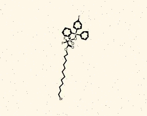 O=C(OCCCCCCCCCCCCBr)C(F)(F)S(=O)(=O)OS(c1ccccc1)(c1ccccc1)c1ccc(F)cc1